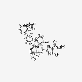 CCCCc1nc(Cl)c(C(=O)O)n1Cc1ccc(-c2cc(-c3cccc4[nH]ccc34)ccc2-c2nn[nH]n2)cc1